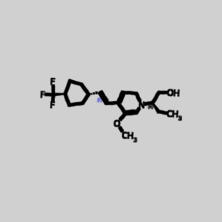 CC[C@H](CO)N1C=C(OC)C(/C=C/[C@H]2CC[C@H](C(F)(F)F)CC2)=CC1